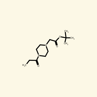 CCC(=O)N1CCN(CC(=O)OC(C)(C)C)CC1